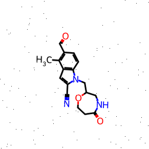 Cc1c(C=O)ccc2c1cc(C#N)n2CC1CNC(=O)CCO1